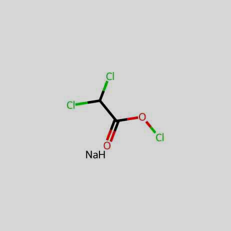 O=C(OCl)C(Cl)Cl.[NaH]